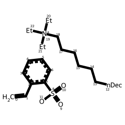 C=Cc1ccccc1S(=O)(=O)[O-].CCCCCCCCCCCCCCCC[N+](CC)(CC)CC